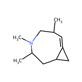 CC1/C=C2/CC2CC(C)N(C)C1